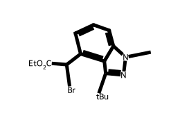 CCOC(=O)C(Br)c1cccc2c1c(C(C)(C)C)nn2C